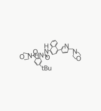 CC(C)(C)c1ccc(C(=O)N2CCOCC2)c(NC(=O)Nc2ccc(-c3ccc(CN4CCOCC4)nc3)c3ccccc23)c1